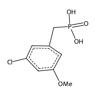 COc1cc(Cl)cc(CP(=O)(O)O)c1